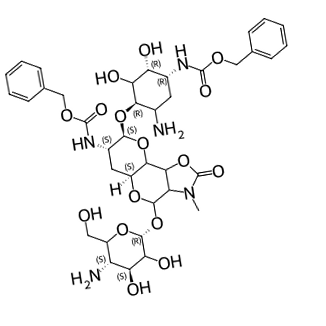 CN1C(=O)OC2C3O[C@H](O[C@@H]4C(N)C[C@@H](NC(=O)OCc5ccccc5)[C@@H](O)C4O)[C@@H](NC(=O)OCc4ccccc4)C[C@@H]3OC(O[C@H]3OC(CO)[C@@H](N)[C@H](O)C3O)C21